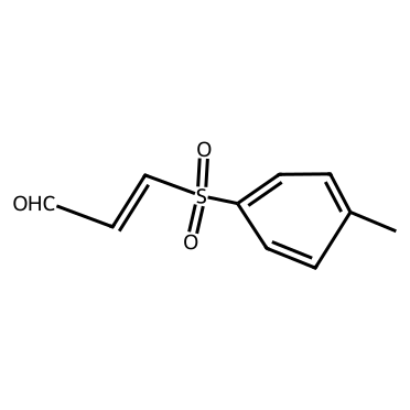 Cc1ccc(S(=O)(=O)C=CC=O)cc1